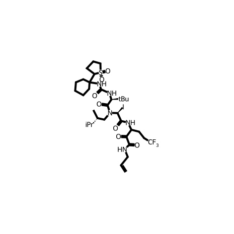 C=CCNC(=O)C(=O)C(CCC(F)(F)F)NC(=O)[C@H](I)N(C[C@@H](C)C(C)C)C(=O)[C@@H](NC(=O)NC1(C2CCCS2(=O)=O)CCCCC1)C(C)(C)C